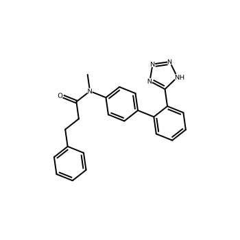 CN(C(=O)CCc1ccccc1)c1ccc(-c2ccccc2-c2nnn[nH]2)cc1